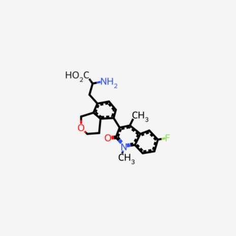 Cc1c(-c2ccc(CC(N)C(=O)O)c3c2CCOC3)c(=O)n(C)c2ccc(F)cc12